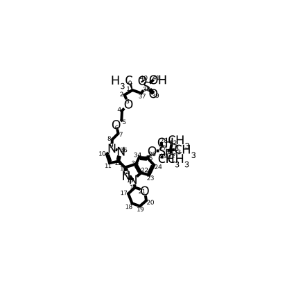 C[C@H](COCCOCCn1ccc(-c2nn(C3CCCCO3)c3ccc(O[Si](C)(C)C(C)(C)C)cc23)n1)CS(=O)(=O)O